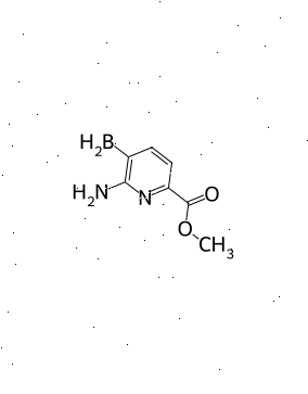 Bc1ccc(C(=O)OC)nc1N